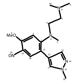 COc1cc(N(C)CCN(C)C)c(-c2cnn(C)c2)cc1N=O